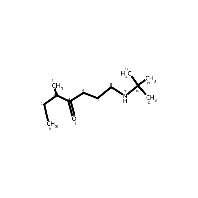 CCC(C)C(=O)CCCNC(C)(C)C